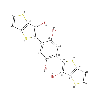 Brc1cc(-c2sc3ccsc3c2Br)c(Br)cc1-c1sc2ccsc2c1Br